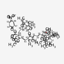 CCC(O[Si](CC)(CC)CC)C(C)C1OC1CC(C)(/C=C/C=C(\C)C1OC(=O)CC(O[Si](CC)(CC)CC)CCC(C)(C(=O)OOc2ccc([N+](=O)[O-])cc2)C(OC(C)=O)/C=C/C1C)O[Si](CC)(CC)CC